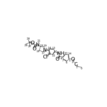 CCCCOc1ccc(C(=O)Nc2ccc(N3CCC(N(C)C(=O)OC(C)(C)C)C3)c(Cl)c2)cc1